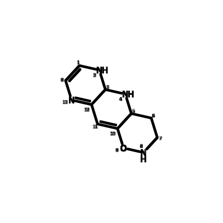 C1=CNC2NC3CCNOC3=CC2=N1